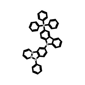 C1=CN2c3cc(-n4c5ccccc5c5cc(S(c6ccccc6)(c6ccccc6)c6ccccc6)ccc54)ccc3N(c3ccccc3)N2C=C1